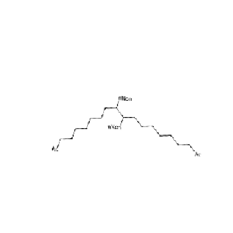 CCCCCCCCCC(CCCCCCCC(C)=O)C(CCCCCCCCC)CCCCCCCC(C)=O